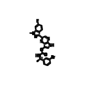 C[C@@H](NC(=O)Oc1c[nH]c2ncc(-c3nn(C)c4cc(F)ccc34)nc12)c1cccc(Br)c1